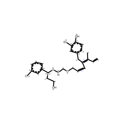 C=C/C(C)=C(\C=C/COCPO[C@@H](CCO)c1cccc(Cl)c1)Cc1ccc(O)c(CC)c1